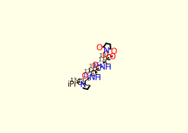 CC(C)[13CH2]N1CCC[13CH]1C(=O)[15NH][13CH2][13CH2][13C](=O)[15NH]C[13CH2][13C](=O)ON1C(=O)CCC1=O